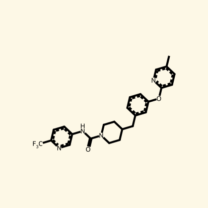 Cc1ccc(Oc2cccc(CC3CCN(C(=O)Nc4ccc(C(F)(F)F)nc4)CC3)c2)nc1